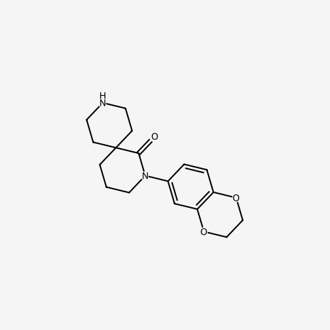 O=C1N(c2ccc3c(c2)OCCO3)CCCC12CCNCC2